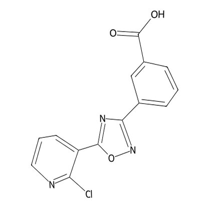 O=C(O)c1cccc(-c2noc(-c3cccnc3Cl)n2)c1